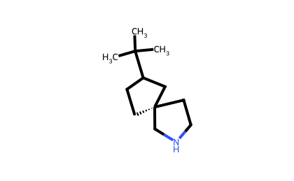 CC(C)(C)C1CC[C@@]2(CCNC2)C1